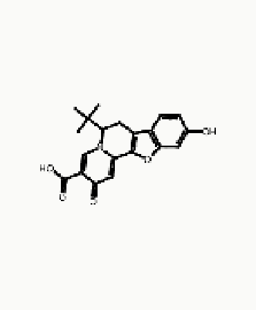 CC(C)(C)C1Cc2c(oc3cc(O)ccc23)-c2cc(=O)c(C(=O)O)cn21